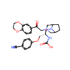 N#Cc1ccc(OC[C@H](CN2C3CCC2CN(CC(=O)c2ccc4c(c2)OCCO4)C3)NC(=O)O)cc1